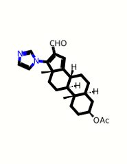 CC(=O)O[C@H]1CC[C@@]2(C)[C@@H](CC[C@H]3C4=CC(C=O)=C(n5ccnc5)[C@@]4(C)CC[C@@H]32)C1